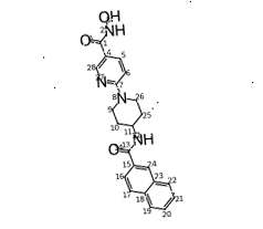 O=C(NO)c1ccc(N2CCC(NC(=O)c3ccc4ccccc4c3)CC2)nc1